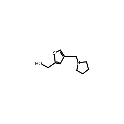 OCc1cc(CN2CCCC2)cs1